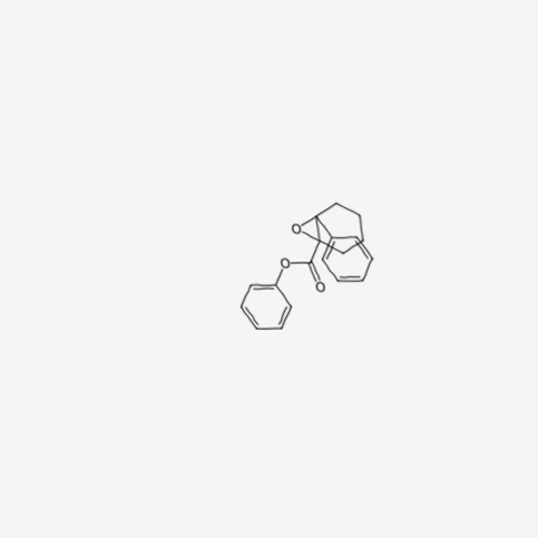 O=C(Oc1ccccc1)C12CCCCC1(c1ccccc1)O2